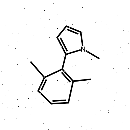 Cc1cccc(C)c1-c1cc[c]n1C